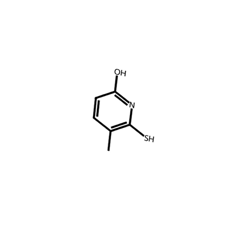 Cc1ccc(O)nc1S